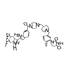 CCC1Cc2c(-c3cc4ccc(C(=O)N5CCN(CC6CCN(Cc7ccc(F)c(N8CCC(=O)NC8=O)c7)CC6)CC5)cc4[nH]3)n[nH]c2CC1(F)F